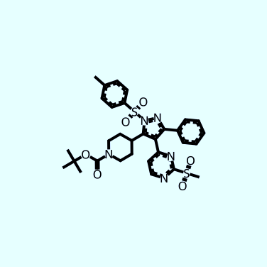 Cc1ccc(S(=O)(=O)n2nc(-c3ccccc3)c(-c3ccnc(S(C)(=O)=O)n3)c2C2CCN(C(=O)OC(C)(C)C)CC2)cc1